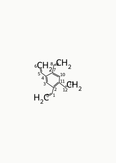 C=Cc1cc(C=C)c(C=C)cc1C=C